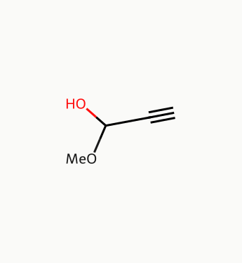 C#CC(O)OC